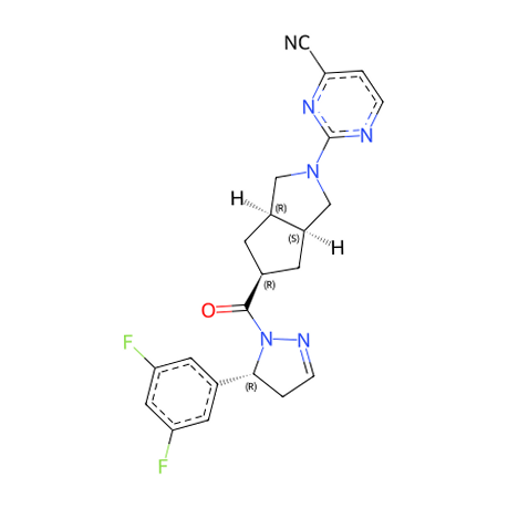 N#Cc1ccnc(N2C[C@H]3C[C@@H](C(=O)N4N=CC[C@@H]4c4cc(F)cc(F)c4)C[C@H]3C2)n1